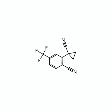 N#Cc1ccc(C(F)(F)F)cc1C1(C#N)CC1